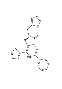 O=c1c(Cc2ccco2)nc2c(-c3cccs3)[nH]c(-c3ccccc3)cn1-2